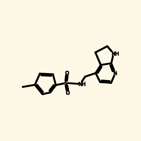 Cc1ccc(S(=O)(=O)NCc2ccnc3c2CCN3)cc1